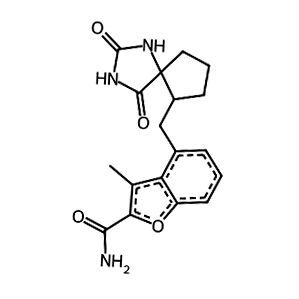 Cc1c(C(N)=O)oc2cccc(CC3CCCC34NC(=O)NC4=O)c12